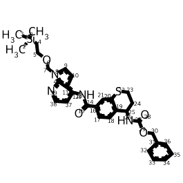 C[Si](C)(C)CCOCn1ccc2c(NC(=O)c3ccc4c(c3)SCCC4NC(=O)OCc3ccccc3)ccnc21